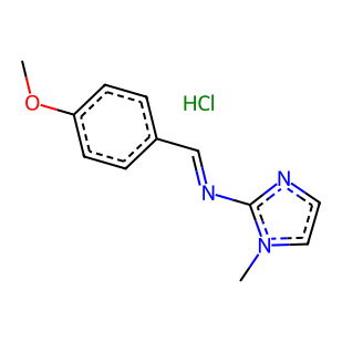 COc1ccc(/C=N/c2nccn2C)cc1.Cl